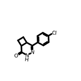 O=C1NN=C(c2ccc(Cl)cc2)C2CCC12